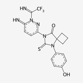 N=C(n1nc(N2C(=O)C3(CCC3)N(c3ccc(O)cc3)C2=S)ccc1=N)C(F)(F)F